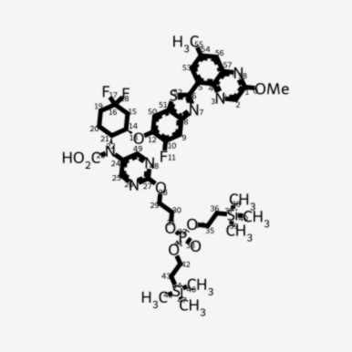 COc1cnc2c(-c3nc4cc(F)c(O[C@H]5CC(F)(F)CC[C@H]5N(C(=O)O)c5cnc(OCCOP(=O)(OCC[Si](C)(C)C)OCC[Si](C)(C)C)nc5)cc4s3)cc(C)cc2n1